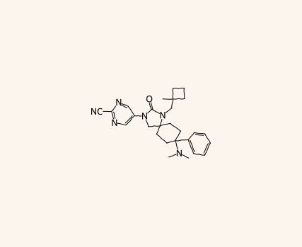 CN(C)C1(c2ccccc2)CCC2(CC1)CN(c1cnc(C#N)nc1)C(=O)N2CC1(C)CCC1